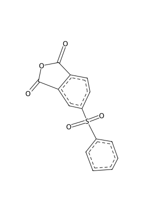 O=C1OC(=O)c2cc(S(=O)(=O)c3ccccc3)ccc21